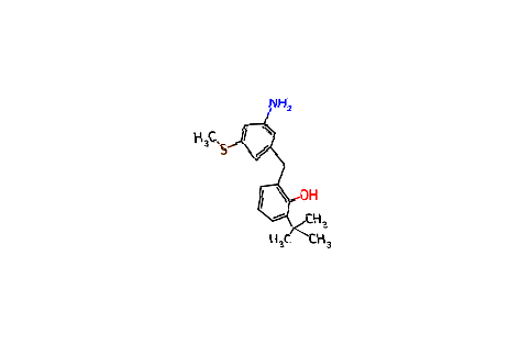 CSc1cc(N)cc(Cc2cccc(C(C)(C)C)c2O)c1